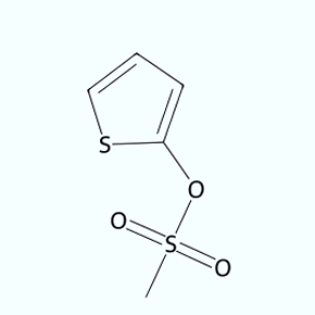 CS(=O)(=O)Oc1cccs1